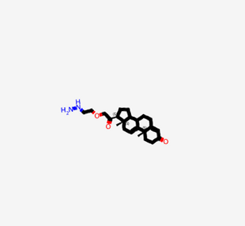 C[C@]12CCC(=O)C=C1CCC1C2=CC[C@@]2(C)C1CC[C@@H]2C(=O)COCCNN